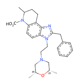 CC1CCc2c(ccc3c2nc(Cc2ccccc2)n3CCN2C[C@@H](C)O[C@@H](C)C2)N1C(=O)O